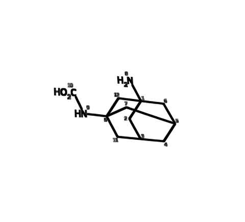 NC12CC3CC(C1)CC(NC(=O)O)(C3)C2